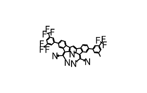 Cc1cc(-c2ccc3c(c2)C(=C(C#N)C#N)c2nc4c(cc2-3)-c2ccc(-c3cc(C(F)(F)F)cc(C(F)(F)F)c3)cc2C4=C(C#N)C#N)cc(C(F)(F)F)c1